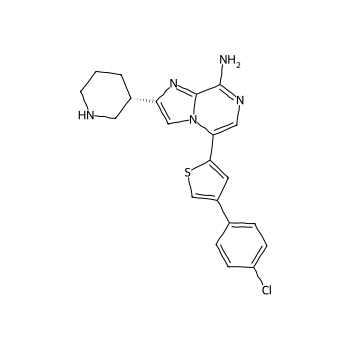 Nc1ncc(-c2cc(-c3ccc(Cl)cc3)cs2)n2cc([C@H]3CCCNC3)nc12